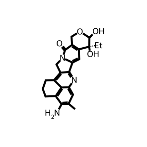 CC[C@]1(O)c2cc3n(c(=O)c2COC1O)Cc1c-3nc2cc(C)c(N)c3c2c1CCC3